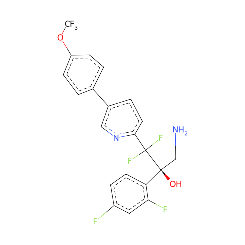 NC[C@](O)(c1ccc(F)cc1F)C(F)(F)c1ccc(-c2ccc(OC(F)(F)F)cc2)cn1